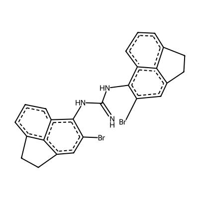 N=C(Nc1c(Br)cc2c3c(cccc13)CC2)Nc1c(Br)cc2c3c(cccc13)CC2